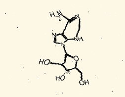 NC1=NCNc2c1ncn2C1OC(CO)[C@H](O)C1O